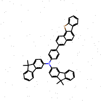 CC1(C)c2ccccc2-c2cc(N(c3ccc(-c4ccc5c(ccc6c7ccccc7sc56)c4)cc3)c3ccc4c(c3)-c3ccccc3C4(C)C)ccc21